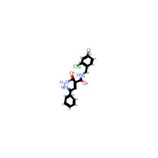 N=C(/C=C(\C(N)=O)C(=O)NCc1ccc(Cl)cc1Cl)c1ccccc1